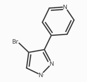 BrC1=C[N]N=C1c1ccncc1